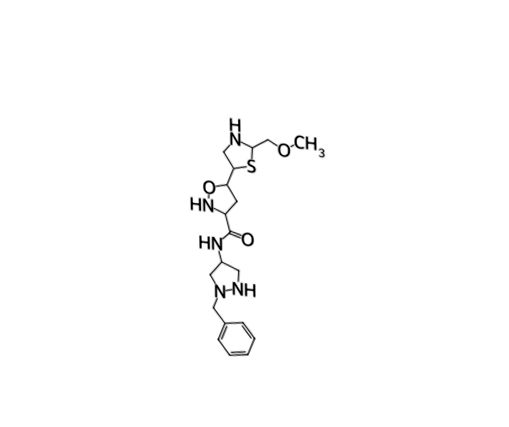 COCC1NCC(C2CC(C(=O)NC3CNN(Cc4ccccc4)C3)NO2)S1